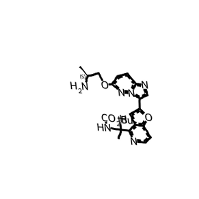 C[C@H](N)COc1ccc2ncc(-c3cc4c(C(C)(NC(=O)O)C(C)(C)C)nccc4o3)n2n1